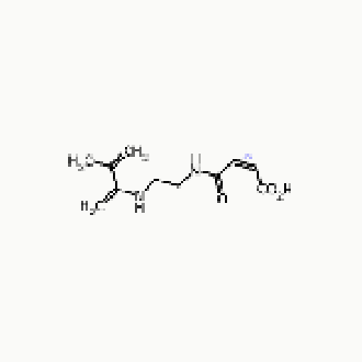 C=C(C)C(=C)NCCNC(=O)/C=C\C(=O)O